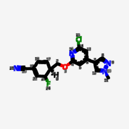 [2H]C1(COc2cc(-c3cnn(C)c3)cc(Cl)n2)C=CC(C#N)=CC1F